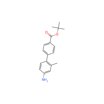 Cc1cc(N)ccc1-c1ccc(C(=O)OC(C)(C)C)cc1